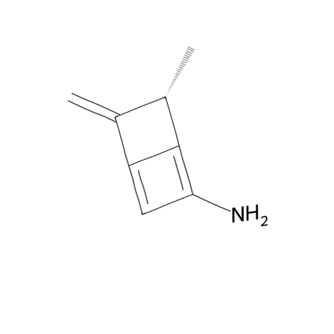 C=C1C2=CC(N)=C2[C@H]1C